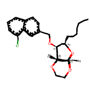 CCCC[C@H]1O[C@@H]2OCCO[C@@H]2[C@H]1OCc1ccc2cccc(Cl)c2c1